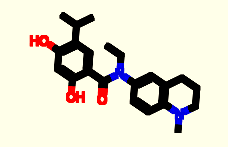 CCN(C(=O)c1cc(C(C)C)c(O)cc1O)c1ccc2c(c1)CCCN2C